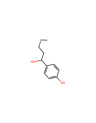 CCCCCCCCC(O)c1ccc(O)cc1